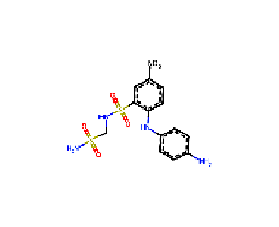 Nc1ccc(Nc2ccc([N+](=O)[O-])cc2S(=O)(=O)NCS(N)(=O)=O)cc1